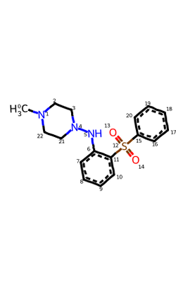 CN1CCN(Nc2ccccc2S(=O)(=O)c2ccccc2)CC1